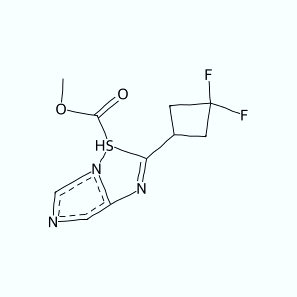 COC(=O)[SH]1C(C2CC(F)(F)C2)=Nc2cncn21